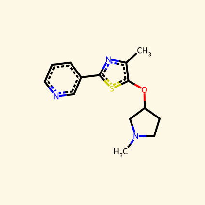 Cc1nc(-c2cccnc2)sc1OC1CCN(C)C1